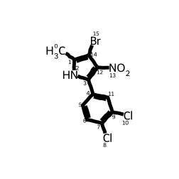 Cc1[nH]c(-c2ccc(Cl)c(Cl)c2)c([N+](=O)[O-])c1Br